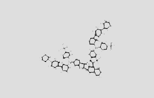 CC(C)(C)c1ccc(N(c2ccc3c(c2)C(C)(C)c2c-3n3c4c5ccc(N(c6ccc(C(C)(C)C)cc6)c6cccc7c6oc6cc(-c8ccccc8)ccc67)cc5oc4c4cc5ccccc5c2c43)c2cccc3c2oc2cc(-c4ccccc4)ccc23)cc1